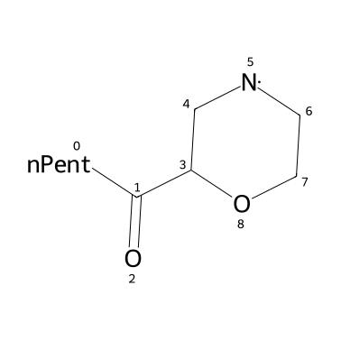 CCCCCC(=O)C1C[N]CCO1